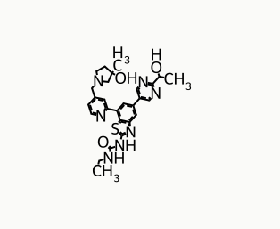 CCNC(=O)Nc1nc2cc(-c3cnc(C(C)O)nc3)cc(-c3cc(CN4CCC(C)(O)C4)ccn3)c2s1